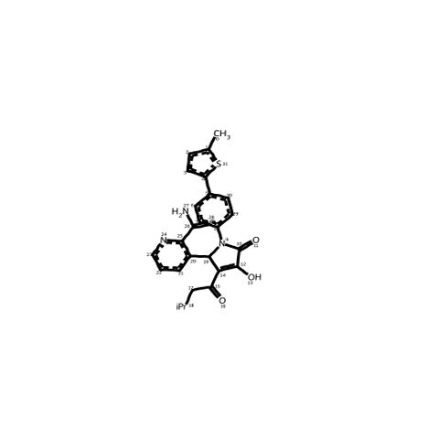 Cc1ccc(-c2ccc(N3C(=O)C(O)=C(C(=O)CC(C)C)C3c3cccnc3C(N)=O)cc2)s1